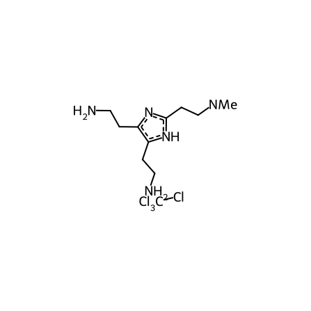 CNCCc1nc(CCN)c(CCN)[nH]1.ClC(Cl)(Cl)Cl